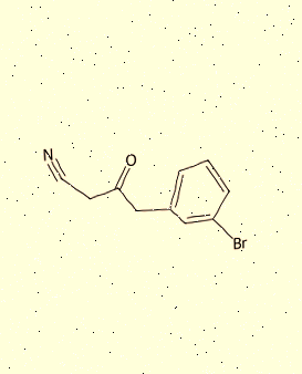 N#CCC(=O)Cc1cccc(Br)c1